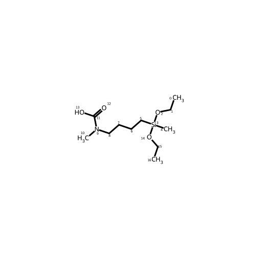 CCO[Si](C)(CCCCN(C)C(=O)O)OCC